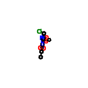 O=c1c(OC2CCCC2)c(N2CCN(S(=O)(=O)c3ccc(-c4ccccc4)cc3)CC2)cnn1-c1cccc(Cl)c1